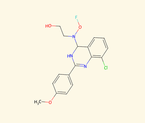 COc1ccc(C2=Nc3c(Cl)cccc3C(N(CCO)OF)N2)cc1